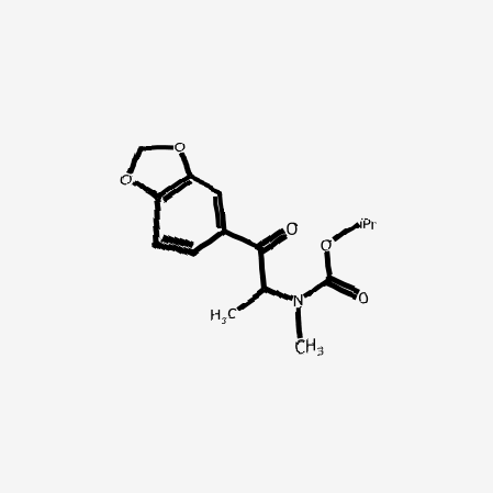 CC(C)OC(=O)N(C)C(C)C(=O)c1ccc2c(c1)OCO2